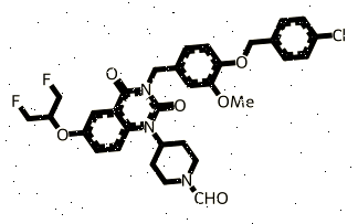 COc1cc(Cn2c(=O)c3cc(OC(CF)CF)ccc3n(C3CCN(C=O)CC3)c2=O)ccc1OCc1ccc(Cl)cc1